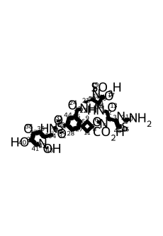 Nc1nc(C(=NOC2(C(=O)O)CCC2)C(=O)N[C@@H]2C(=O)N(S(=O)(=O)O)[C@@H]2CNC(=O)c2cccc(S(=O)(=O)NCc3cc(=O)c(O)cn3O)c2)cs1